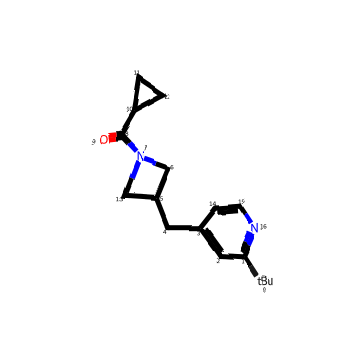 CC(C)(C)c1cc(CC2CN(C(=O)C3CC3)C2)ccn1